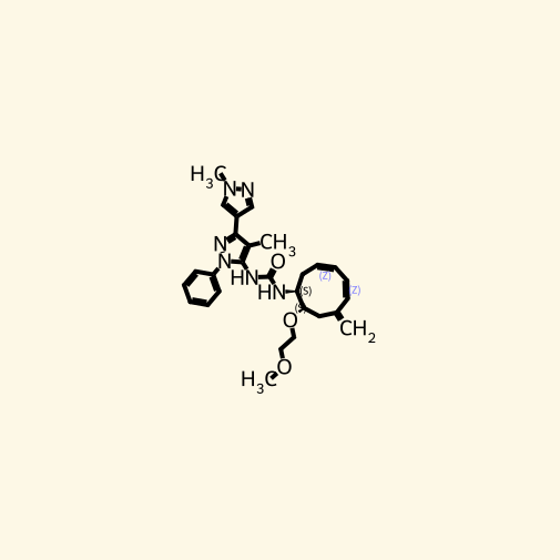 C=C1/C=C\C=C/C[C@H](NC(=O)Nc2c(C)c(-c3cnn(C)c3)nn2-c2ccccc2)[C@@H](OCCOC)C1